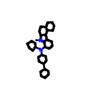 Cn1c2ccc3ccccc3c2c2cccc(N(c3ccccc3)c3ccc(-c4ccccc4)cc3)c21